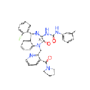 Cc1cccc(NC(=O)N[C@@H]2N=C(c3ccccc3F)c3ccccc3N(Cc3ncccc3C(=O)N3CCCC3)C2=O)c1